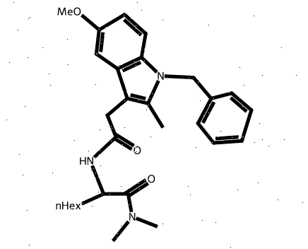 CCCCCCC(NC(=O)Cc1c(C)n(Cc2ccccc2)c2ccc(OC)cc12)C(=O)N(C)C